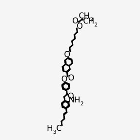 C=C(C)C(=O)OCCCCCCCCOC1=CCC2C=C(C(=O)Oc3ccc(C(=O)Cc4ccc(/C=C/CCCC)cc4N)cc3)C=CC2=C1